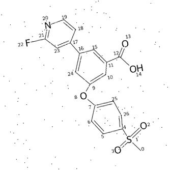 CS(=O)(=O)c1ccc(Oc2cc(C(=O)O)cc(-c3ccnc(F)c3)c2)cc1